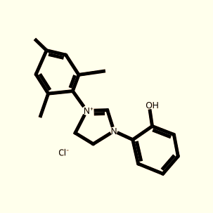 Cc1cc(C)c([N+]2=CN(c3ccccc3O)CC2)c(C)c1.[Cl-]